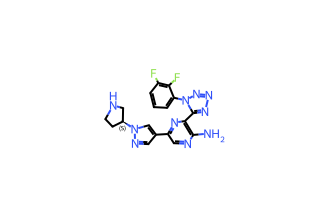 Nc1ncc(-c2cnn([C@H]3CCNC3)c2)nc1-c1nnnn1-c1cccc(F)c1F